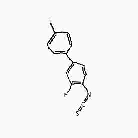 Fc1cc(-c2ccc(I)cc2)ccc1N=C=S